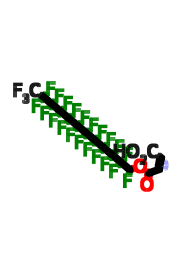 O=C(O)/C=C\C(=O)OC(F)C(F)(F)C(F)(F)C(F)(F)C(F)(F)C(F)(F)C(F)(F)C(F)(F)C(F)(F)C(F)(F)C(F)(F)C(F)(F)F